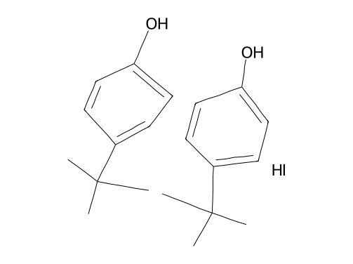 CC(C)(C)c1ccc(O)cc1.CC(C)(C)c1ccc(O)cc1.I